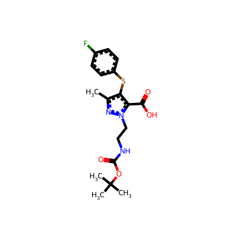 Cc1nn(CCNC(=O)OC(C)(C)C)c(C(=O)O)c1Sc1ccc(F)cc1